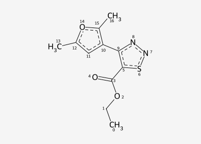 CCOC(=O)c1snnc1-c1cc(C)oc1C